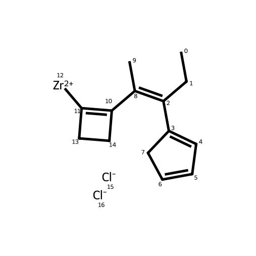 CCC(C1=CC=CC1)=C(C)C1=[C]([Zr+2])CC1.[Cl-].[Cl-]